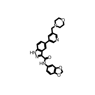 O=C(Nc1ccc2c(c1)OCO2)c1n[nH]c2ccc(-c3cncc(CN4CCOCC4)c3)cc12